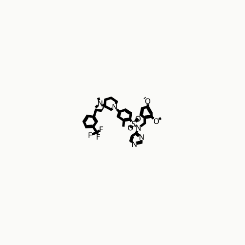 COc1ccc(CN(c2ccncn2)S(=O)(=O)c2ccc(N3CCC[C@@](CCc4cccc(C(F)(F)F)c4)(N(C)C)C3)cc2C)c(OC)c1